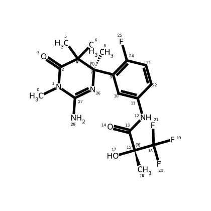 CN1C(=O)C(C)(C)[C@@](C)(c2cc(NC(=O)[C@@](C)(O)C(F)(F)F)ccc2F)N=C1N